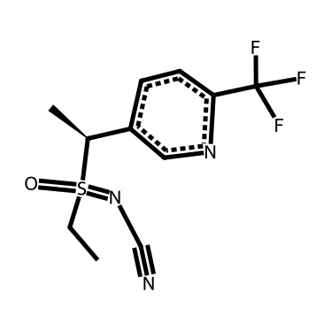 CCS(=O)(=NC#N)[C@@H](C)c1ccc(C(F)(F)F)nc1